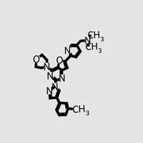 Cc1cccc(-c2cnn(-c3nc(N4CCOCC4)c4oc(-c5ccc(CN(C)C)cn5)cc4n3)c2)c1